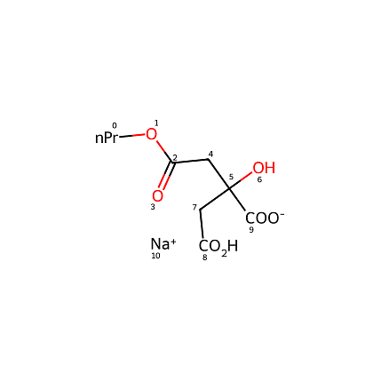 CCCOC(=O)CC(O)(CC(=O)O)C(=O)[O-].[Na+]